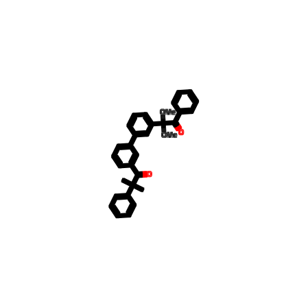 COC(OC)(C(=O)c1ccccc1)c1cccc(-c2cccc(C(=O)C(C)(C)c3ccccc3)c2)c1